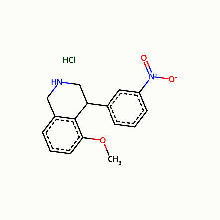 COc1cccc2c1C(c1cccc([N+](=O)[O-])c1)CNC2.Cl